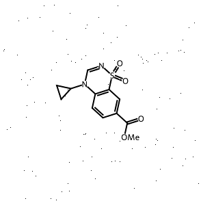 COC(=O)c1ccc2c(c1)S(=O)(=O)N=CN2C1CC1